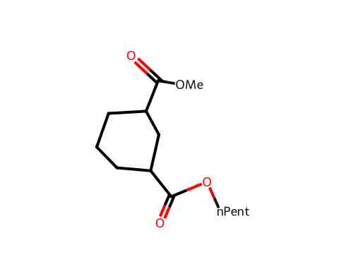 CCCCCOC(=O)C1CCCC(C(=O)OC)C1